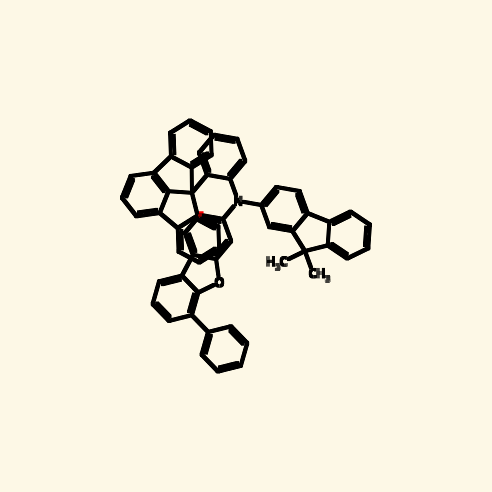 CC1(C)c2ccccc2-c2ccc(N(c3ccc4c(c3)oc3c(-c5ccccc5)cccc34)c3ccccc3C34c5ccccc5-c5cccc(c53)-c3ccccc34)cc21